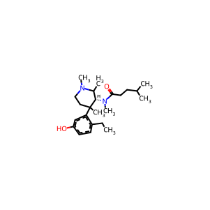 CCc1ccc(O)cc1C1(C)CCN(C)C(C)[C@@H]1N(C)C(=O)CCC(C)C